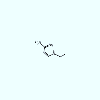 CCN/C=C\C(=N)N